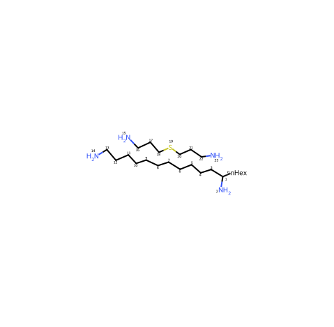 CCCCCCC(N)CCCCCCCCCCCN.NCCCSCCCN